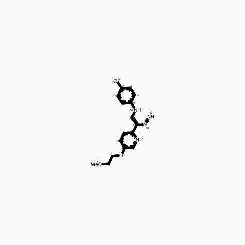 COCCOc1ccc(/C(=C/Nc2ccc(Cl)cc2)N=N)nc1